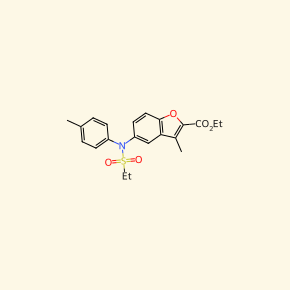 CCOC(=O)c1oc2ccc(N(c3ccc(C)cc3)S(=O)(=O)CC)cc2c1C